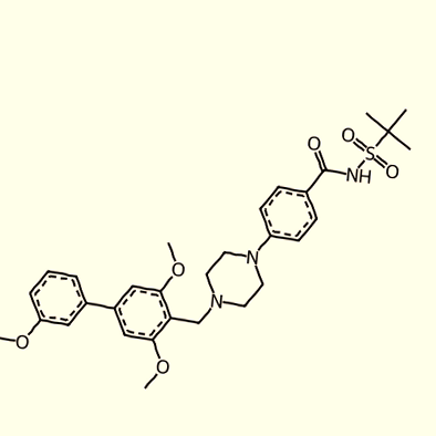 CCOc1cccc(-c2cc(OC)c(CN3CCN(c4ccc(C(=O)NS(=O)(=O)C(C)(C)C)cc4)CC3)c(OC)c2)c1